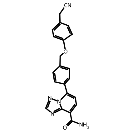 N#CCc1ccc(OCc2ccc(-c3ccc(C(N)=O)c4n[c]nn34)cc2)cc1